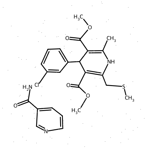 COC(=O)C1=C(C)NC(CSC)=C(C(=O)OC)C1c1cccc(Cl)c1.NC(=O)c1cccnc1